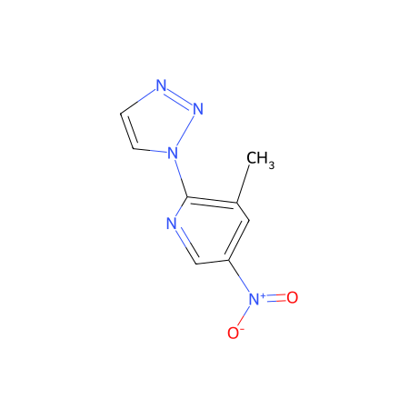 Cc1cc([N+](=O)[O-])cnc1-n1ccnn1